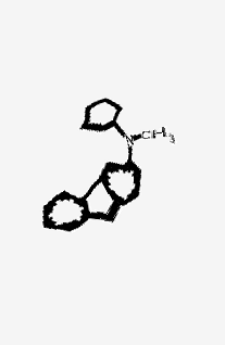 CN(c1ccc2c(c1)-c1ccccc1C2)C1CCCCC1